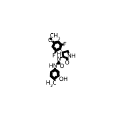 COc1cc(F)c([C@@H]2CNC(=O)[C@H]2NC(=O)Nc2ccc(C)c(O)c2)c(F)c1